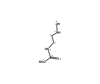 CCCNCCNC(=O)OC